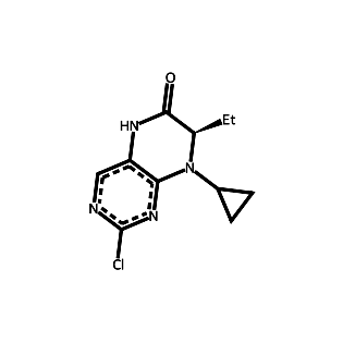 CC[C@@H]1C(=O)Nc2cnc(Cl)nc2N1C1CC1